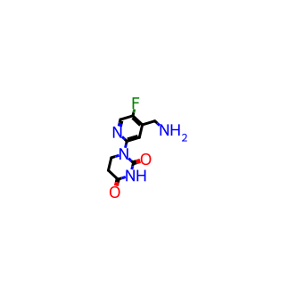 NCc1cc(N2CCC(=O)NC2=O)ncc1F